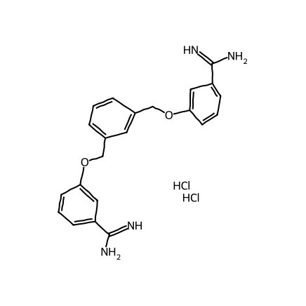 Cl.Cl.N=C(N)c1cccc(OCc2cccc(COc3cccc(C(=N)N)c3)c2)c1